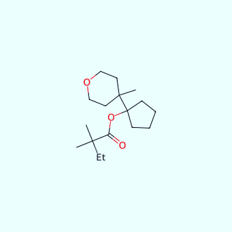 CCC(C)(C)C(=O)OC1(C2(C)CCOCC2)CCCC1